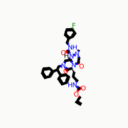 C=CCOC(=O)NCCC[C@H]1C(=O)N(CC(c2ccccc2)c2ccccc2)C[C@H]2N1C(=O)CN(C)N2C(=O)NCc1ccc(F)cc1